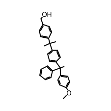 COc1ccc(C(C)(c2ccccc2)c2ccc(C(C)(C)c3ccc(CO)cc3)cc2)cc1